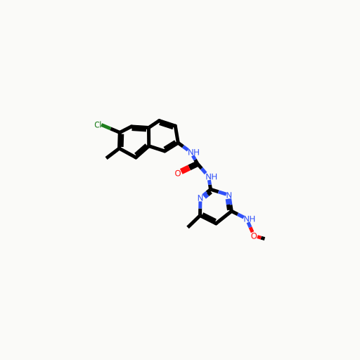 CONc1cc(C)nc(NC(=O)Nc2ccc3cc(Cl)c(C)cc3c2)n1